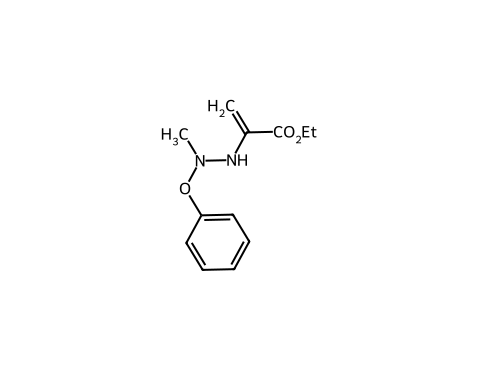 C=C(NN(C)Oc1ccccc1)C(=O)OCC